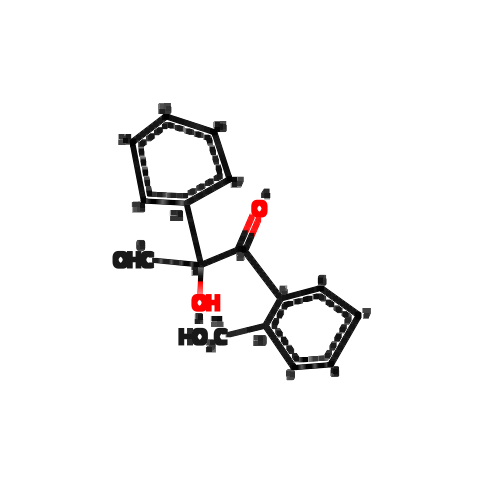 O=CC(O)(C(=O)c1ccccc1C(=O)O)c1ccccc1